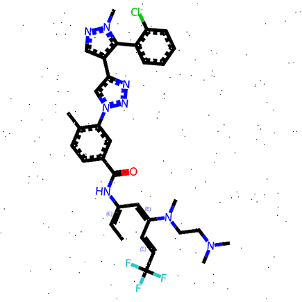 C\C=C(/C=C(\C=C\C(F)(F)F)N(C)CCN(C)C)NC(=O)c1ccc(C)c(-n2cc(-c3cnn(C)c3-c3ccccc3Cl)nn2)c1